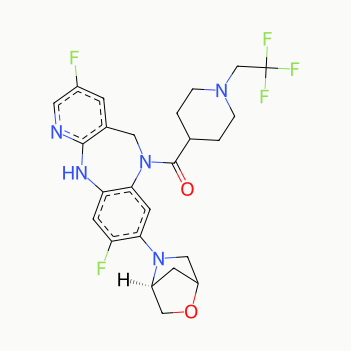 O=C(C1CCN(CC(F)(F)F)CC1)N1Cc2cc(F)cnc2Nc2cc(F)c(N3CC4C[C@H]3CO4)cc21